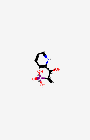 C=C(C(O)c1ccccn1)P(=O)(O)O